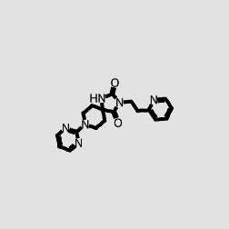 O=C1NC2(CCN(c3ncccn3)CC2)C(=O)N1CCc1ccccn1